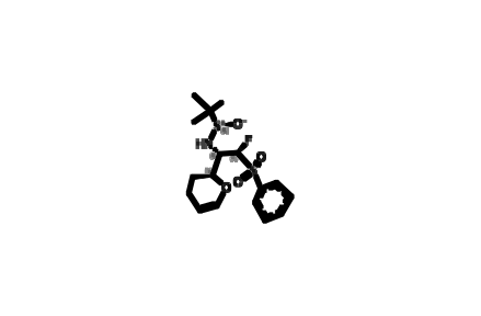 CC(C)(C)[S@@+]([O-])N[C@@H]([C@@H]1CCC=CO1)[C@@H](F)S(=O)(=O)c1ccccc1